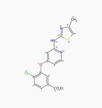 CCOC(=O)c1ccc(Cl)c(Oc2ccnc(Nc3nc(C)cs3)c2)c1